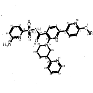 CC(C)Oc1ccc(-c2ccc(C(=O)NS(=O)(=O)c3cccc(N)n3)c(N3CCCC(c4ccccn4)C3)n2)cn1